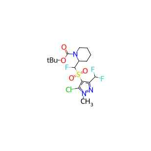 Cn1nc(C(F)F)c(S(=O)(=O)C(F)C2CCCCN2C(=O)OC(C)(C)C)c1Cl